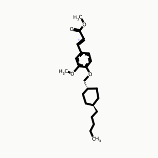 CCCCC[C@H]1CC[C@H](COc2ccc(/C=C/C(=O)OC)cc2OC)CC1